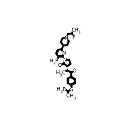 CC(F)CN1CCC(c2ccc(P)c(N3CC[C@H](C(C)C(=O)c4ccc(SC(C)P)cc4)C3=O)n2)CC1